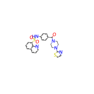 O=C(c1ccc(NS(=O)(=O)c2cccc3cccnc23)cc1)N1CCN(c2nccs2)CC1